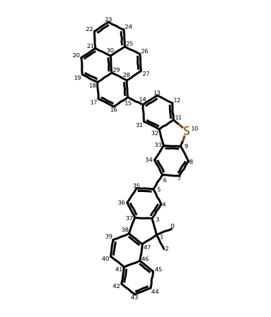 CC1(C)c2cc(-c3ccc4sc5ccc(-c6ccc7ccc8cccc9ccc6c7c89)cc5c4c3)ccc2-c2ccc3ccccc3c21